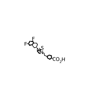 O=C(O)c1ccc(CCn2ccn([C@H]3CCc4c(F)cc(F)cc4C3)c2=S)cc1